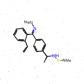 C=Cc1ccccc1/C(=N\NC)c1ccc(C(C)NSNC)cc1